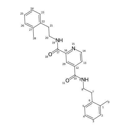 Cc1ccccc1CCNC(=O)c1ccnc(C(=O)NCCc2ccccc2C)c1